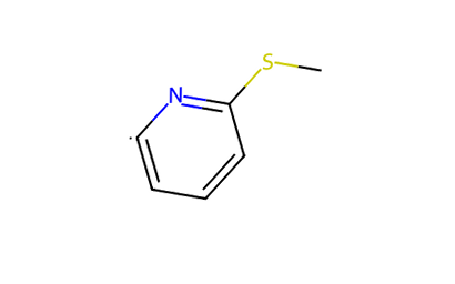 CSc1ccc[c]n1